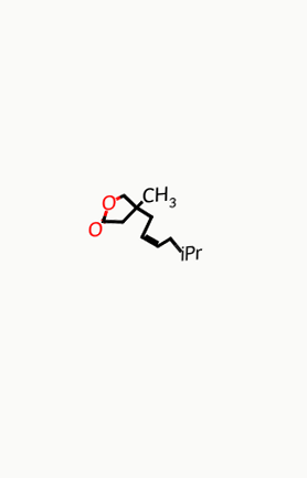 CC(C)C/C=C\CC1(C)COC(=O)C1